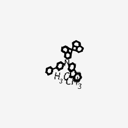 CC1(C)c2ccccc2-c2ccc(N(c3ccc(-c4ccccc4)cc3)c3cc4c5c(cccc5c3)C43c4cccc5cccc3c45)cc21